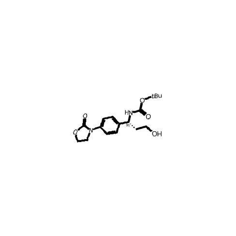 CC(C)(C)OC(=O)N[C@H](CCO)c1ccc(N2CCOC2=O)cc1